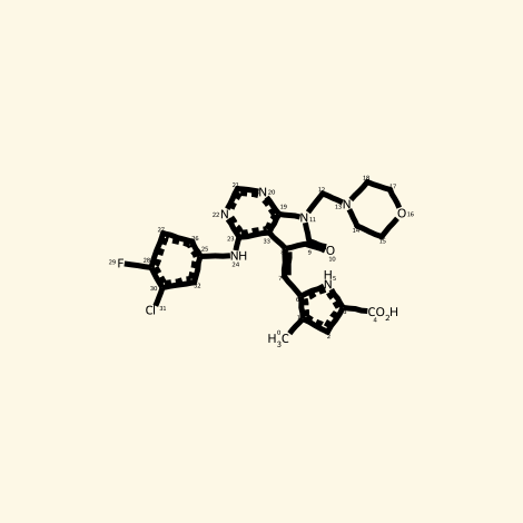 Cc1cc(C(=O)O)[nH]c1C=C1C(=O)N(CN2CCOCC2)c2ncnc(Nc3ccc(F)c(Cl)c3)c21